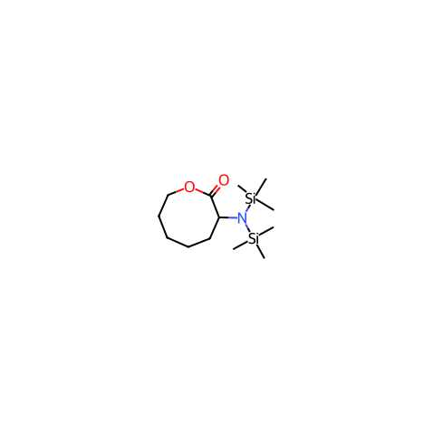 C[Si](C)(C)N(C1CCCCCOC1=O)[Si](C)(C)C